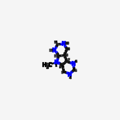 Cn1c2cncnc2c2cncnc21